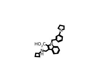 O=C(O)c1c(CNC2CCC2)c2ccccc2n1Cc1cccc(N2CCCC2)c1